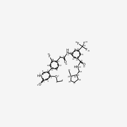 CCOc1cc(=O)[nH]cc1-c1ccc(CC(=O)Nc2cc(C(=O)NC[C@H]3CCCN3C)cc(C(F)(F)F)c2)c(F)c1